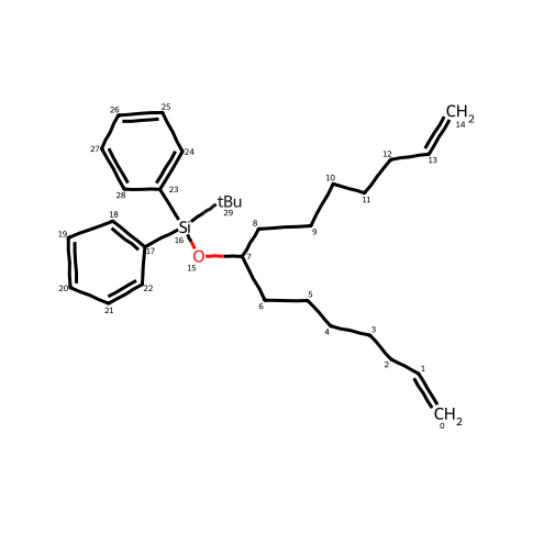 C=CCCCCCC(CCCCCC=C)O[Si](c1ccccc1)(c1ccccc1)C(C)(C)C